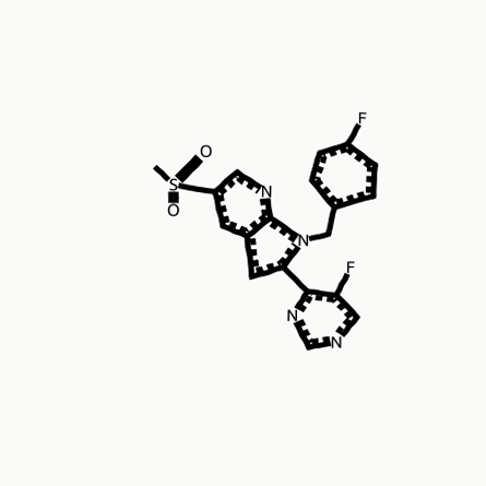 CS(=O)(=O)c1cnc2c(c1)cc(-c1ncncc1F)n2Cc1ccc(F)cc1